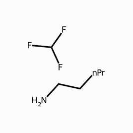 CCCCCN.FC(F)F